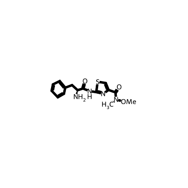 CON(C)C(=O)c1csc(NC(=O)[C@@H](N)Cc2ccccc2)n1